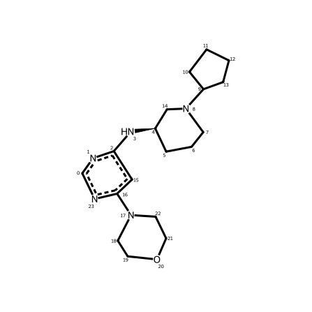 c1nc(N[C@@H]2CCCN(C3CCCC3)C2)cc(N2CCOCC2)n1